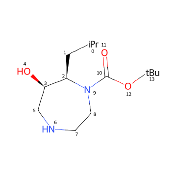 CC(C)C[C@@H]1[C@H](O)CNCCN1C(=O)OC(C)(C)C